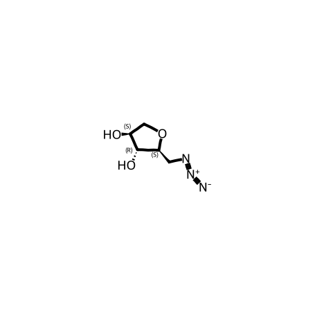 [N-]=[N+]=NC[C@@H]1OC[C@H](O)[C@H]1O